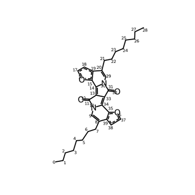 CCCCCCCCC1=CN2C(=O)C3=C4c5occc5C(CCCCCCCC)=CN4C(=O)C3=C2c2occc21